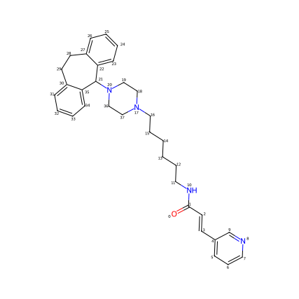 O=C(C=Cc1cccnc1)NCCCCCCN1CCN(C2c3ccccc3CCc3ccccc32)CC1